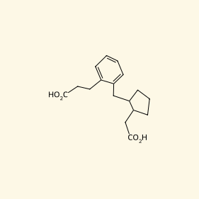 O=C(O)CCc1ccccc1CC1CCCC1CC(=O)O